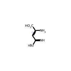 CCCCC(=N)/C=C(\N)C(=O)O